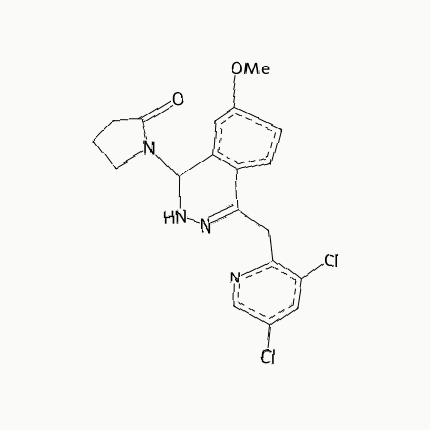 COc1ccc2c(c1)C(N1CCCC1=O)NN=C2Cc1ncc(Cl)cc1Cl